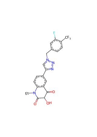 CCN1C(=O)C(O)C(=O)c2cc(-c3cn(Cc4ccc(C(F)(F)F)c(F)c4)nn3)ccc21